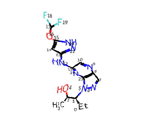 CC[C@@H]([C@@H](C)O)n1ncc2ncc(Nc3cc(OC(F)F)[nH]n3)nc21